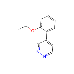 CCOc1ccccc1-c1[c]nncc1